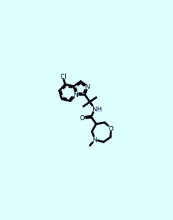 CN1CCOCC(C(=O)NC(C)(C)c2ncc3c(Cl)cccn23)C1